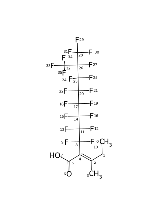 CCC(C)=C(C(=O)O)C(F)(F)C(F)(F)C(F)(F)C(F)(F)C(F)(F)C(F)(F)C(F)(C(F)(F)F)C(F)(F)F